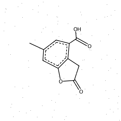 Cc1cc2c(c(C(=O)O)c1)CC(=O)O2